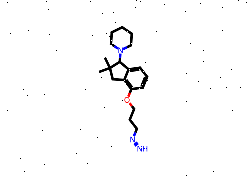 CC1(C)Cc2c(OCCCN=N)cccc2C1N1CCCCC1